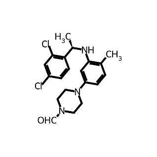 Cc1ccc(N2CCN(C=O)CC2)cc1N[C@H](C)c1ccc(Cl)cc1Cl